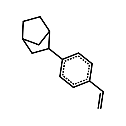 C=Cc1ccc(C2CC3CCC2C3)cc1